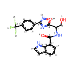 O=C(NC(CO)c1nc(-c2ccc(C(F)(F)F)cc2)no1)c1cccc2cc[nH]c12